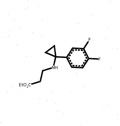 CCOC(=O)CCNC1(c2ccc(F)c(F)c2)CC1